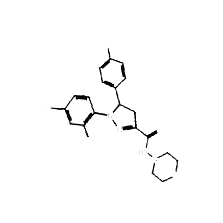 S=C(NN1CCOCC1)C1=NN(c2ccc(Cl)cc2Cl)C(c2ccc(Cl)cc2)C1